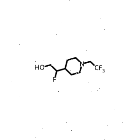 OCC(F)C1CCN(CC(F)(F)F)CC1